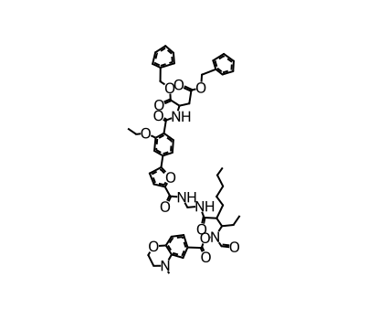 CCCCCC(C(=O)NCNC(=O)c1ccc(-c2ccc(C(=O)NC(CC(=O)OCc3ccccc3)C(=O)OCc3ccccc3)c(OCC)c2)o1)C(CC)N(C=O)OC(=O)c1ccc2c(c1)N(C)CCO2